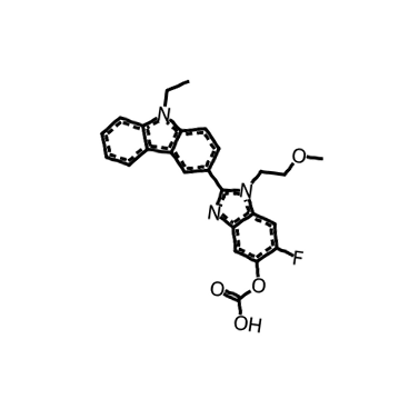 CCn1c2ccccc2c2cc(-c3nc4cc(OC(=O)O)c(F)cc4n3CCOC)ccc21